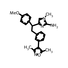 COc1ccc(C(Cc2cccc(-c3c(C)noc3C)c2)c2cn(C)c(N)n2)cc1